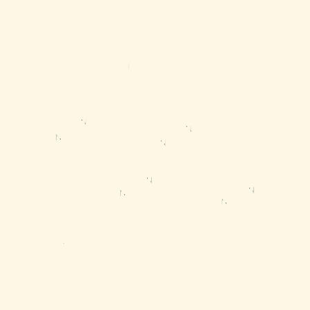 Fc1ccc(-n2cnc3ccc(-c4cncn4-c4ccc(Cl)cc4)cc32)cc1.Fc1ccc(-n2cnc3ccc(-c4cncn4-c4ccccc4)cc32)cc1